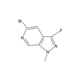 Cn1nc(F)c2cc(Br)ncc21